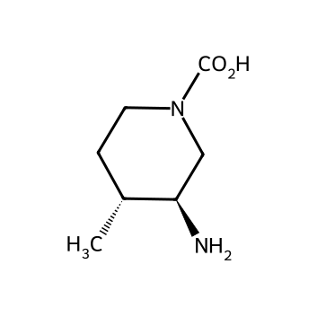 C[C@@H]1CCN(C(=O)O)C[C@H]1N